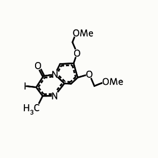 COCOc1cc2nc(C)c(I)c(=O)n2cc1OCOC